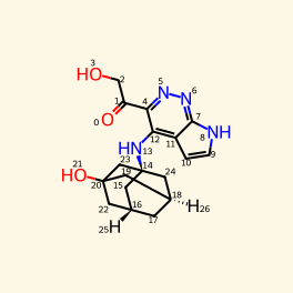 O=C(CO)c1nnc2[nH]ccc2c1N[C@@]12C[C@@H]3C[C@@H](CC(O)(C3)C1)C2